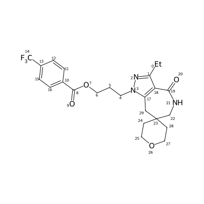 CCc1nn(CCCOC(=O)c2ccc(C(F)(F)F)cc2)c2c1C(=O)NCC1(CCOCC1)C2